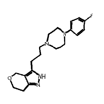 Fc1ccc(N2CCN(CCCc3[nH]nc4c3COCC4)CC2)cc1